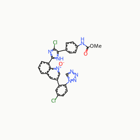 COC(=O)Nc1ccc(-c2[nH]c(-c3cccc4cc(-c5cc(Cl)ccc5-n5cnnn5)c[n+]([O-])c34)nc2Cl)cc1